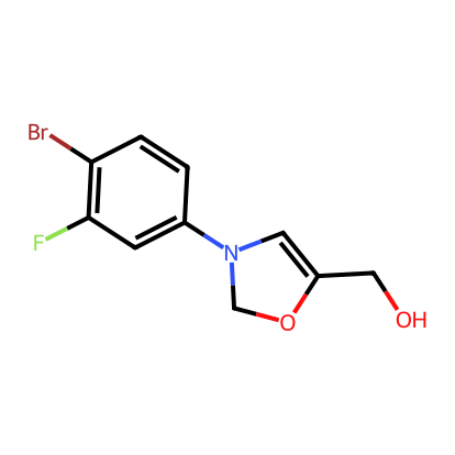 OCC1=CN(c2ccc(Br)c(F)c2)CO1